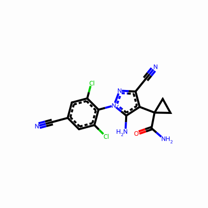 N#Cc1cc(Cl)c(-n2nc(C#N)c(C3(C(N)=O)CC3)c2N)c(Cl)c1